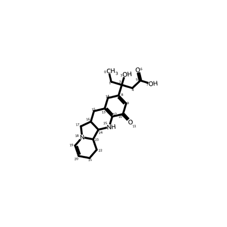 CCC(O)(CC(=O)O)C1=CC(=O)C2=C(C1)CC1CN3C=CCCC3C1N2